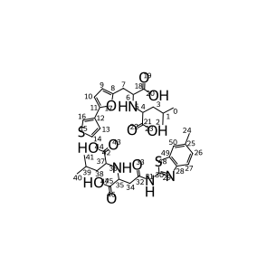 CC(C)CC(NC(Cc1ccc(-c2ccsc2)o1)C(=O)O)C(=O)O.Cc1ccc2nc(NC(=O)CC(NC(CC(C)C)C(=O)O)C(=O)O)sc2c1